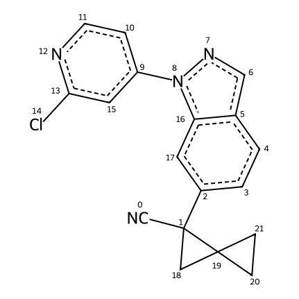 N#CC1(c2ccc3cnn(-c4ccnc(Cl)c4)c3c2)CC12CC2